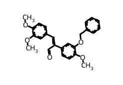 COc1ccc(C=C(C=O)c2ccc(OC)c(OCc3ccccc3)c2)cc1OC